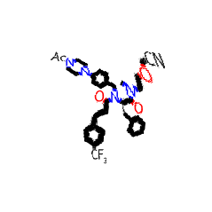 CC(=O)N1CCN(c2ccc(CN(C(=O)/C=C/c3ccc(C(F)(F)F)cc3)[C@@H](Cc3ccccc3)C(=O)N(C)CCOCC#N)cc2)CC1